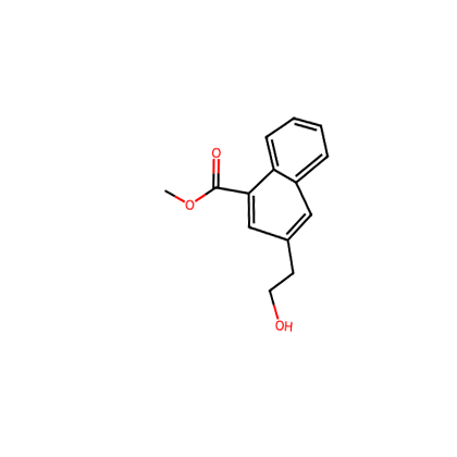 COC(=O)c1cc(CCO)cc2ccccc12